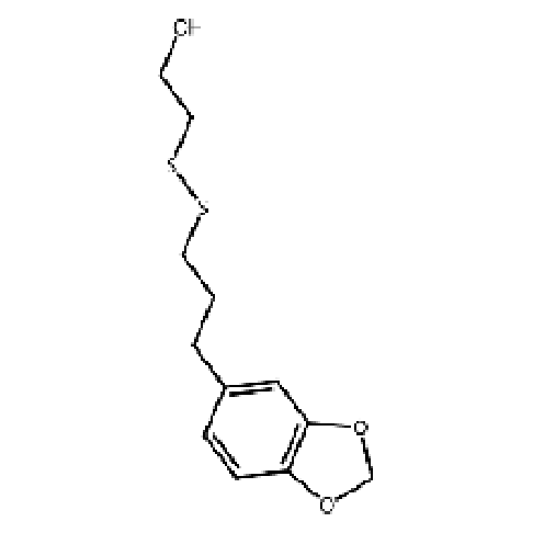 OCCSSCCCc1ccc2c(c1)OCO2